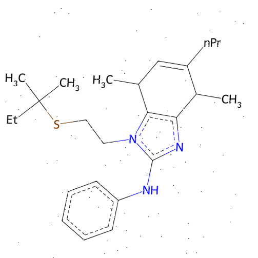 CCCC1=CC(C)c2c(nc(Nc3ccccc3)n2CCSC(C)(C)CC)C1C